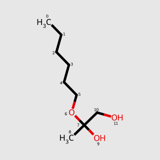 CCCCCCOC(C)(O)CO